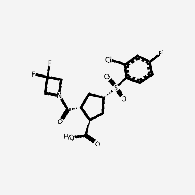 O=C(O)[C@@H]1C[C@@H](S(=O)(=O)c2ccc(F)cc2Cl)C[C@H]1C(=O)N1CC(F)(F)C1